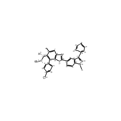 CC(=O)[C@@H](OC(C)(C)C)c1c(C)cc2nc(-c3ccc4c(c3)c(-c3ccccn3)nn4C)sc2c1-c1ccc(Cl)cc1